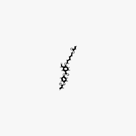 C=CC(=O)OCCCCCCOc1ccc(C(=O)Oc2ccc(OC(=O)C=C)cc2)cc1CC